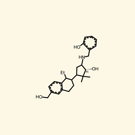 CCC1c2ccc(CO)cc2CCC1C1CC(NCc2ccccc2O)[C@H](O)C1(C)C